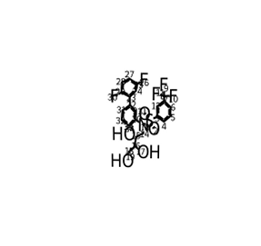 O=S(=O)(c1cccc(C(F)(F)F)c1)N(CCC(O)CO)c1cc(-c2cc(F)ccc2F)ccc1O